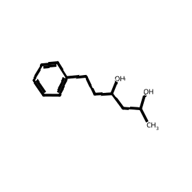 CC(O)CC(O)CCc1ccccc1